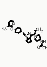 C=S=C(c1nn(CC[C@H]2CC[C@@H](Oc3ncccc3C)CC2)c2c1CCC2)N1CCC(NC(C)=O)CC1